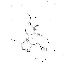 CCO[C@@H](C)C(O)C(CC)N1CCOC1CO